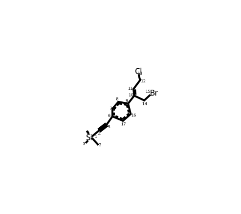 C[Si](C)(C)C#Cc1ccc(/C(=C/CCl)CBr)cc1